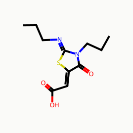 CCC/N=C1\S/C(=C\C(=O)O)C(=O)N1CCC